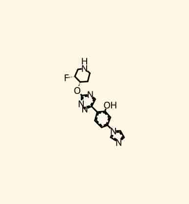 Oc1cc(-n2ccnc2)ccc1-c1cnc(O[C@H]2CCNC[C@H]2F)nn1